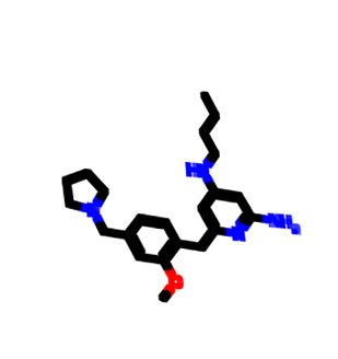 CCCCNc1cc(N)nc(Cc2ccc(CN3CCCC3)cc2OC)c1